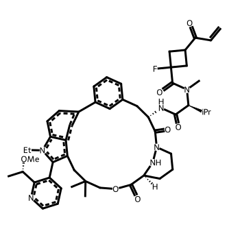 C=CC(=O)C1CC(F)(C(=O)N(C)[C@H](C(=O)N[C@H]2Cc3cccc(c3)-c3ccc4c(c3)c(c(-c3cccnc3[C@H](C)OC)n4CC)CC(C)(C)COC(=O)[C@@H]3CCCN(N3)C2=O)C(C)C)C1